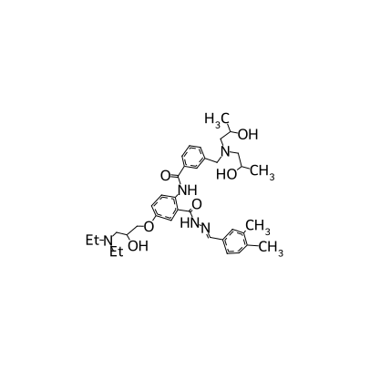 CCN(CC)CC(O)COc1ccc(NC(=O)c2cccc(CN(CC(C)O)CC(C)O)c2)c(C(=O)NN=Cc2ccc(C)c(C)c2)c1